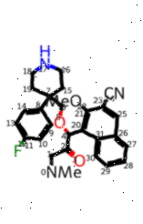 CNCC(=O)C(OCC1(c2ccc(F)cc2)CCNCC1)c1c(OC)c(C#N)cc2ccccc12